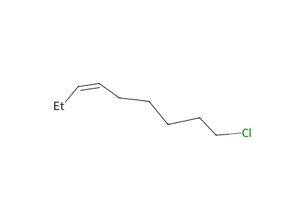 CC/C=C\CCCCCCl